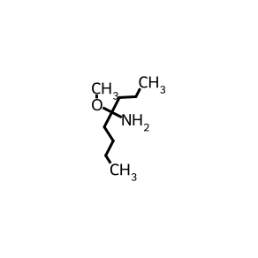 CCCCC(N)(CCC)OC